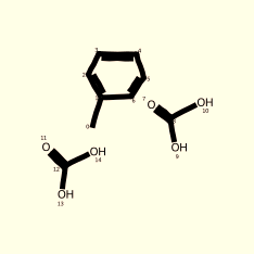 Cc1ccccc1.O=C(O)O.O=C(O)O